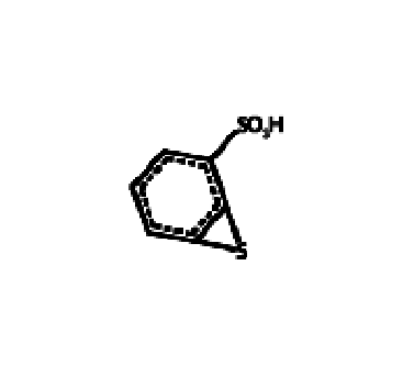 O=S(=O)(O)c1cccc2c1S2